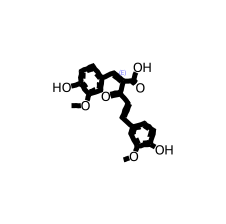 COc1cc(C=CC(=O)/C(=C\c2ccc(O)c(OC)c2)C(=O)O)ccc1O